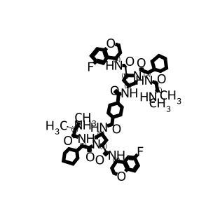 CN[C@@H](C)C(=O)N[C@H](C(=O)N1C[C@@H](NC(=O)C2CCC(C(=O)N[C@H]3C[C@@H](C(=O)N[C@@H]4CCOc5ccc(F)cc54)N(C(=O)[C@@H](NC(=O)[C@H](C)NC)C4CCCCC4)C3)CC2)C[C@H]1C(=O)N[C@@H]1CCOc2ccc(F)cc21)C1CCCCC1